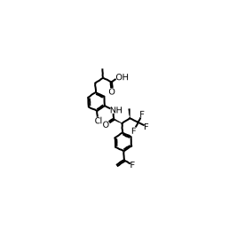 C=C(F)c1ccc([C@@H](C(=O)Nc2cc(CC(C)C(=O)O)ccc2Cl)[C@@H](C)C(F)(F)F)cc1